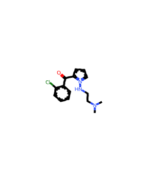 CN(C)CCNn1cccc1C(=O)c1ccccc1Cl